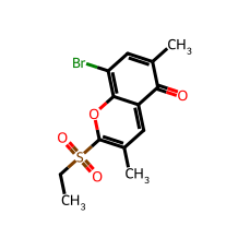 CCS(=O)(=O)c1oc2c(Br)cc(C)c(=O)c-2cc1C